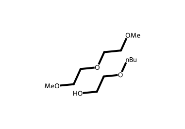 CCCCOCCO.COCCOCCOC